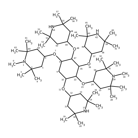 CN1C(C)(C)CC(OC2CC(OC3CC(C)(C)NC(C)(C)C3)C(OC3CC(C)(C)N(C)C(C)(C)C3)C(OC3CC(C)(C)NC(C)(C)C3)C2OC2CC(C)(C)NC(C)(C)C2)CC1(C)C